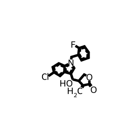 C=C1C(=O)OCC1C(O)c1cn(Cc2ccccc2F)c2ccc(Cl)cc12